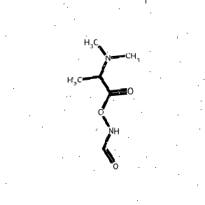 CC(C(=O)ONC=O)N(C)C